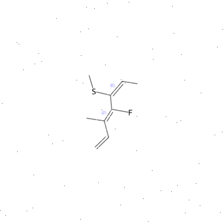 C=C/C(C)=C(F)/C(=C\C)SC